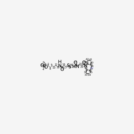 CC(C)P(C)(=O)OCCCCCCNC(=O)CCSSCCC(=O)NCCC(=O)N1Cc2ccccc2/C=C\c2ccccc21